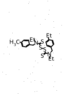 CCc1ccc(CN(CC)C(=S)SSC(=S)N(CC)Cc2ccc(C)cc2)cc1